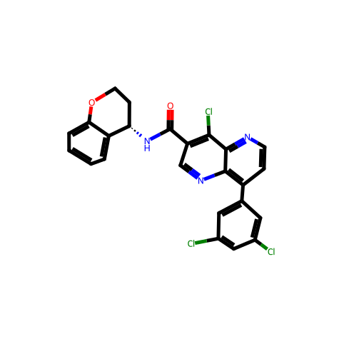 O=C(N[C@H]1CCOc2ccccc21)c1cnc2c(-c3cc(Cl)cc(Cl)c3)ccnc2c1Cl